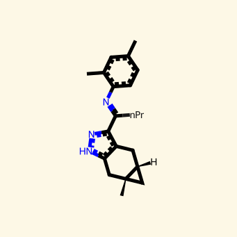 CCC/C(=N\c1ccc(C)cc1C)c1n[nH]c2c1C[C@@H]1C[C@]1(C)C2